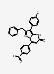 O=c1cc(-c2[c]cc([N+](=O)[O-])cc2)n2nc(Cc3ccccc3)c(-c3ccc(Cl)cc3)c2[nH]1